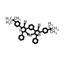 CC(C)(C)c1ccc(-c2nc(-c3ccccc3)c(C#N)c(-c3cccc(-c4c(C#N)c(-c5ccccc5)nc(-c5ccc(C(C)(C)C)cc5)c4C#N)c3)c2C#N)cc1